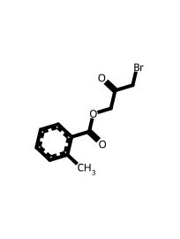 Cc1ccccc1C(=O)OCC(=O)CBr